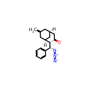 C=C1C[C@H]2CC(=O)[C@H]([C@H](N=[N+]=[N-])c3ccccc3)[C@@H](C1)C2